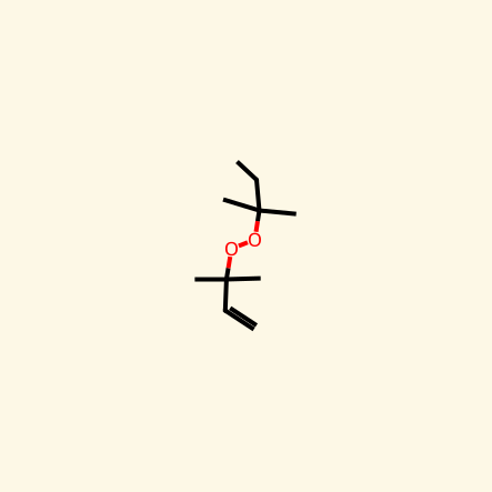 C=CC(C)(C)OOC(C)(C)CC